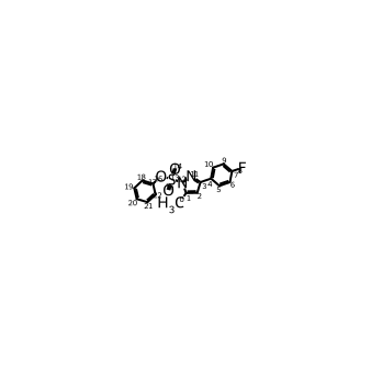 Cc1cc(-c2ccc(F)cc2)nn1S(=O)(=O)Oc1ccccc1